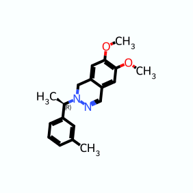 COc1cc2c(cc1OC)CN([C@H](C)c1cccc(C)c1)N=C2